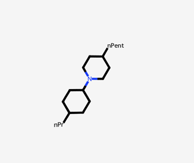 CCCCCC1CCN(C2CCC(CCC)CC2)CC1